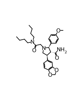 CCCCN(CCCC)C(=O)CN1C[C@H](c2ccc3c(c2)OCO3)[C@@H](C(N)=O)[C@@H]1c1ccc(OC)cc1